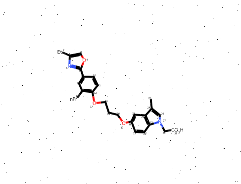 CCCc1cc(-c2nc(CC)co2)ccc1OCCCOc1ccc2c(c1)c(C)cn2CC(=O)O